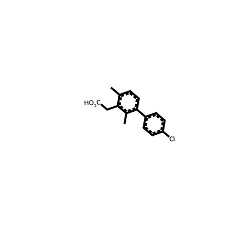 Cc1ccc(-c2ccc(Cl)cc2)c(C)c1CC(=O)O